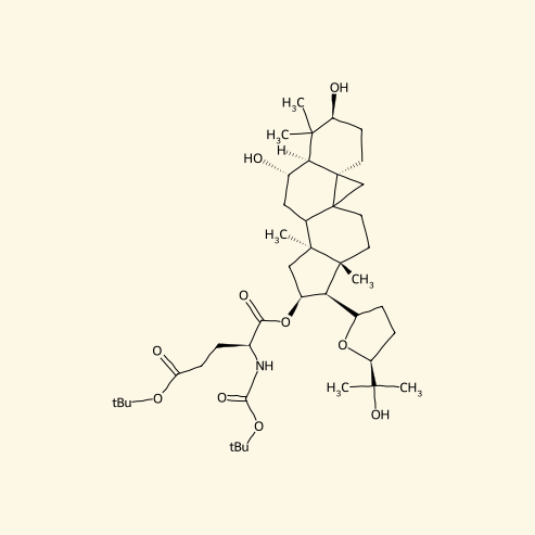 CC(C)(C)OC(=O)CC[C@H](NC(=O)OC(C)(C)C)C(=O)O[C@H]1C[C@@]2(C)C3C[C@H](O)[C@H]4C(C)(C)[C@@H](O)CC[C@@]45CC35CC[C@]2(C)[C@H]1C1CC[C@@H](C(C)(C)O)O1